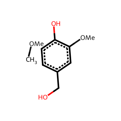 COC.COc1cc(CO)ccc1O